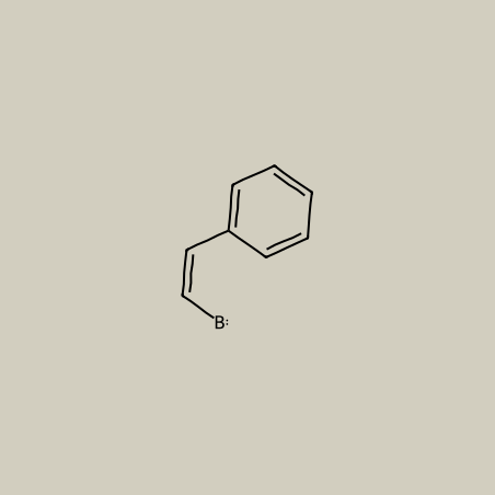 [B]/C=C\c1ccccc1